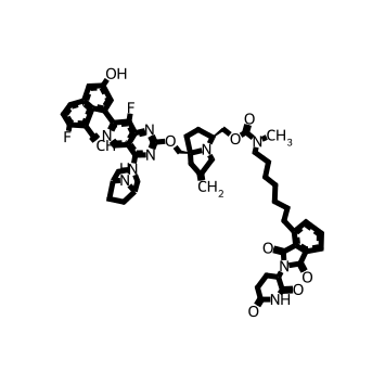 C#Cc1c(F)ccc2cc(O)cc(-c3ncc4c(N5CC6CCC(C5)N6)nc(OC[C@@]56CC[C@@H](COC(=O)N(C)CCCCCCCc7cccc8c7C(=O)N(C7CCC(=O)NC7=O)C8=O)N5CC(=C)C6)nc4c3F)c12